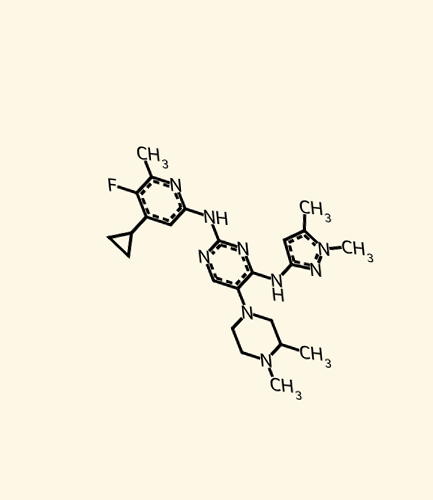 Cc1nc(Nc2ncc(N3CCN(C)C(C)C3)c(Nc3cc(C)n(C)n3)n2)cc(C2CC2)c1F